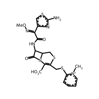 CON=C(C(=O)NC1C(=O)N2C(C(=O)O)=C(CSc3cccc[n+]3C)SCC12)c1csc(N)n1